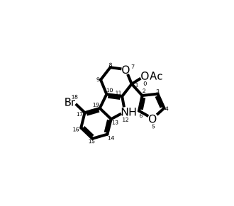 CC(=O)OC1(c2ccoc2)OCCc2c1[nH]c1cccc(Br)c21